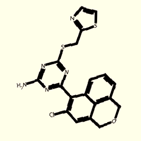 Nc1nc(SCc2nccs2)nc(-c2c(Cl)cc3c4c(cccc24)COC3)n1